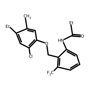 CCC(=O)Nc1cccc(C(F)(F)F)c1COc1cc(C)c(CC)cc1Cl